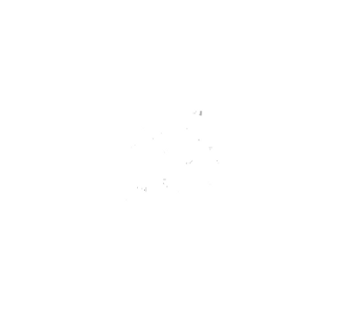 C1CC2CCC1C2.CNC.NCC1CC2CC(CN)C1C2